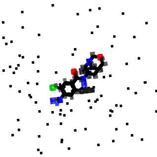 COc1cc(N)c(Cl)cc1C(=O)NC1CC2COCN(C1)C2C